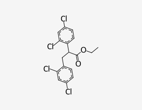 CCOC(=O)C(Cc1ccc(Cl)cc1Cl)c1ccc(Cl)cc1Cl